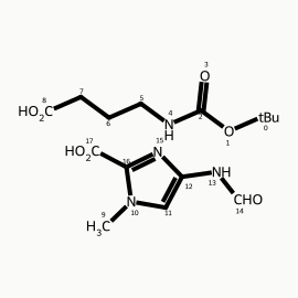 CC(C)(C)OC(=O)NCCCC(=O)O.Cn1cc(NC=O)nc1C(=O)O